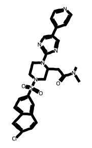 CN(C)C(=O)CC1CN(S(=O)(=O)c2ccc3cc(Cl)ccc3c2)CCN1c1ncc(-c2ccncc2)cn1